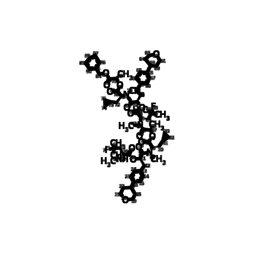 CN[C@@H](CC(C)(C)F)C(=O)O[C@H](Cc1ccc(C2CCOCC2)cc1)C(=O)N(C)[C@@H](CC1CC1)C(=O)O[C@H](C)C(=O)N(C)[C@@H](CC(C)(C)F)C(=O)O[C@H](CCc1ccc(C2CCOCC2)cc1)C(=O)N(C)[C@@H](CC1CC1)C(=O)O[C@H](C)C(=O)OCc1ccccc1